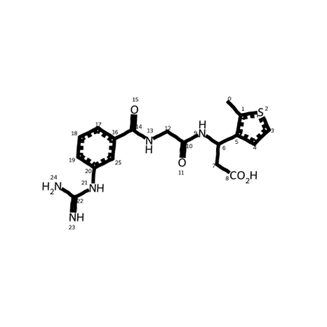 Cc1sccc1C(CC(=O)O)NC(=O)CNC(=O)c1cccc(NC(=N)N)c1